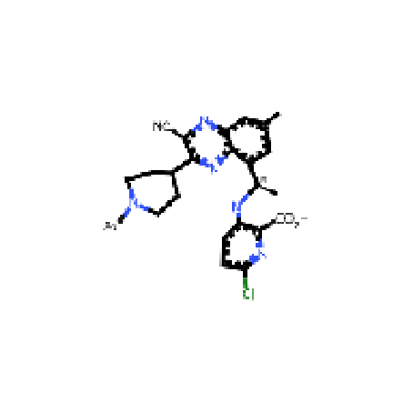 CC(=O)N1CCC(c2nc3c([C@@H](C)Nc4ccc(Cl)nc4C(=O)O)cc(C)cc3nc2C#N)CC1